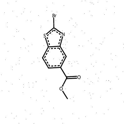 COC(=O)c1ccc2sc(Br)nc2c1